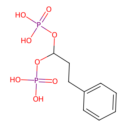 O=P(O)(O)OC(CCc1ccccc1)OP(=O)(O)O